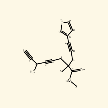 C#CC(O)C#CCC(C)(CC#Cc1ccoc1)C(=O)OC